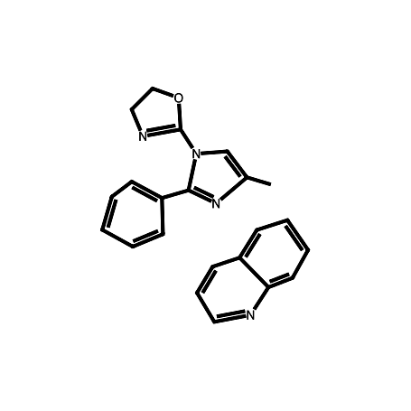 Cc1cn(C2=NCCO2)c(-c2ccccc2)n1.c1ccc2ncccc2c1